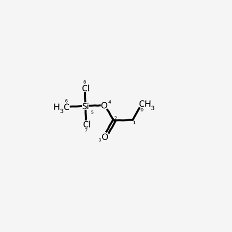 CCC(=O)O[Si](C)(Cl)Cl